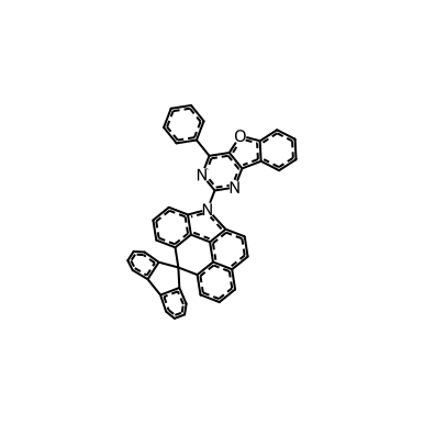 c1ccc(-c2nc(-n3c4cccc5c4c4c6c(cccc6ccc43)C53c4ccccc4-c4ccccc43)nc3c2oc2ccccc23)cc1